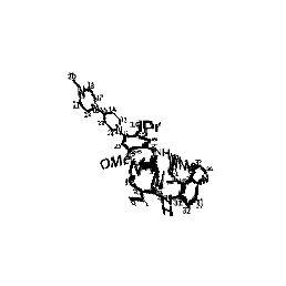 C=Cc1cnc(Nc2cc(C(C)C)c(N3CCC(N4CCN(C)CC4)CC3)cc2OC)nc1Nc1ccc2nccnc2c1SNC